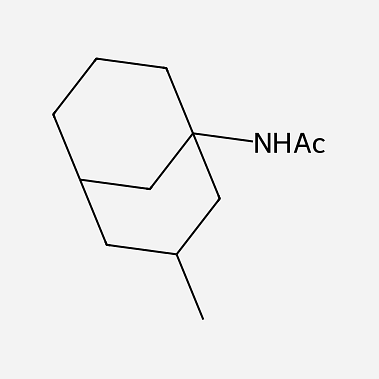 CC(=O)NC12CCCC(CC(C)C1)C2